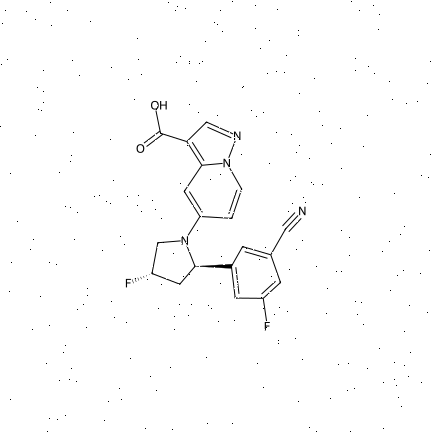 N#Cc1cc(F)cc([C@H]2C[C@H](F)CN2c2ccn3ncc(C(=O)O)c3c2)c1